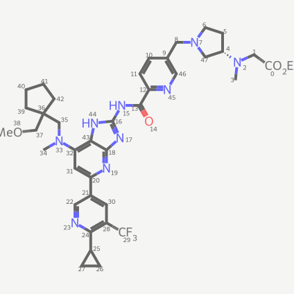 CCOC(=O)CN(C)[C@H]1CCN(Cc2ccc(C(=O)Nc3nc4nc(-c5cnc(C6CC6)c(C(F)(F)F)c5)cc(N(C)CC5(COC)CCCC5)c4[nH]3)nc2)C1